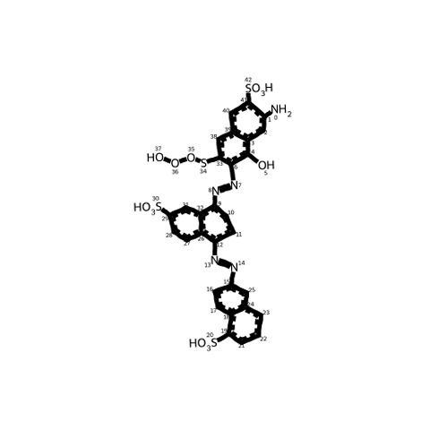 Nc1cc2c(O)c(N=Nc3ccc(N=Nc4ccc5c(S(=O)(=O)O)cccc5c4)c4ccc(S(=O)(=O)O)cc34)c(SOOO)cc2cc1S(=O)(=O)O